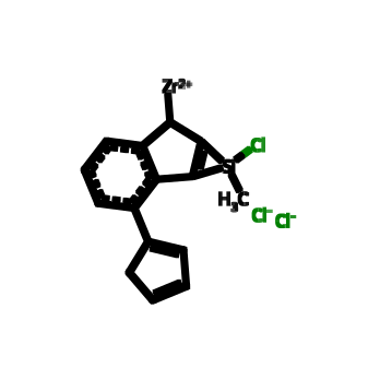 C[Si]1(Cl)C2=C1[CH]([Zr+2])c1cccc(C3=CC=CC3)c12.[Cl-].[Cl-]